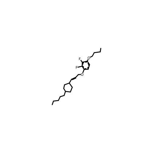 CCCCCC1CCC(/C=C/COc2ccc(OCCCC)c(F)c2F)CC1